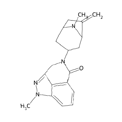 C=C1CC2CC(N3Cc4nn(C)c5cccc(c45)C3=O)CC1N2C